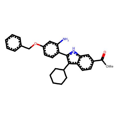 COC(=O)c1ccc2c(C3CCCCC3)c(-c3ccc(OCc4ccccc4)cc3N)[nH]c2c1